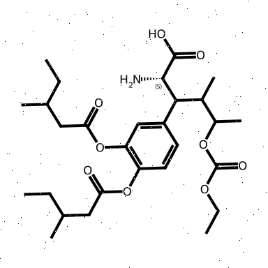 CCOC(=O)OC(C)C(C)C(c1ccc(OC(=O)CC(C)CC)c(OC(=O)CC(C)CC)c1)[C@H](N)C(=O)O